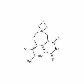 Cc1cc2c(=O)[nH]c(=O)n3c2c(c1Cl)SCC1(COC1)C3